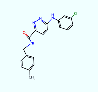 Cc1ccc(CNC(=O)c2ccc(Nc3cccc(Cl)c3)nn2)cc1